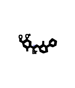 COc1cc(/C(Br)=C/c2cccc(-c3ccccc3)c2C)c(C)cc1C=O